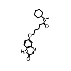 CN(C(=O)CCCCOc1ccc2[nH]c(=O)cnc2c1)C1CCCCC1